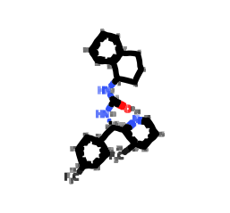 O=C(NC1CCCc2ccccc21)N[C@@H](c1ccc(C(F)(F)F)cc1)c1ncccc1C(F)(F)F